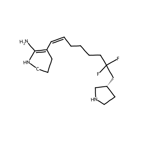 NC1=C(/C=C\CCCCC(F)(F)C[C@@H]2CCNC2)CCCN1